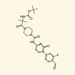 CC(C)(C)OC(=O)NC(C)(C)C(=O)N1CCN(C(=O)Nc2ccn(-c3ccc(C=O)c(F)c3)c(=O)n2)CC1